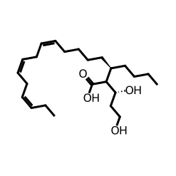 CC/C=C\C/C=C\C/C=C\CCCC[C@@H](CCCC)C(C(=O)O)[C@H](O)CCO